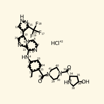 Cc1cc(Nc2nccn3c(-c4c[nH]nc4C(F)(F)F)cnc23)ccc1C(=O)N1CCN(C(=O)[C@@H]2C[C@@H](O)CN2)CC1.Cl